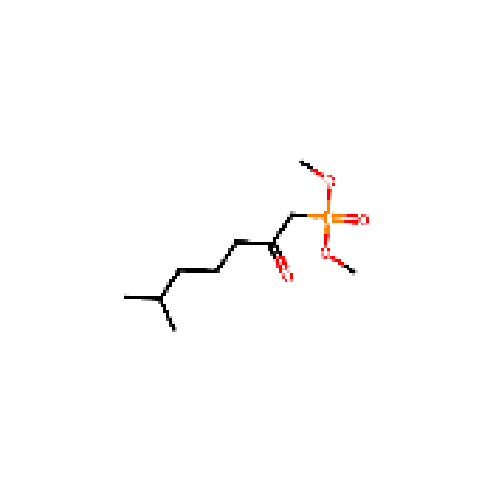 COP(=O)(CC(=O)CCCC(C)C)OC